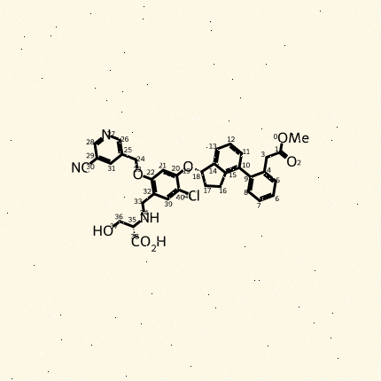 COC(=O)Cc1ccccc1-c1cccc2c1CC[C@@H]2Oc1cc(OCc2cncc(C#N)c2)c(CN[C@@H](CO)C(=O)O)cc1Cl